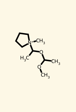 COC(C)OC(C)[N+]1(C)CCCC1